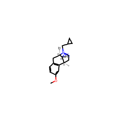 COc1ccc2c(c1)[C@]1(C)CCN(CC3CC3)[C@H](C2)[C@@H]1N